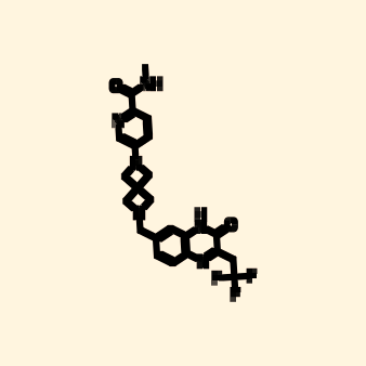 CNC(=O)c1ccc(N2CC3(CN(Cc4ccc5nc(CC(F)(F)F)c(=O)[nH]c5c4)C3)C2)cn1